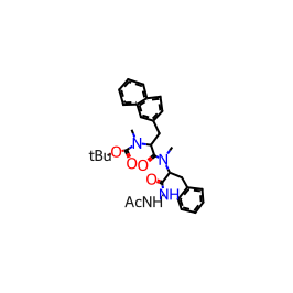 CC(=O)NNC(=O)C(Cc1ccccc1)N(C)C(=O)C(Cc1ccc2ccccc2c1)N(C)C(=O)OC(C)(C)C